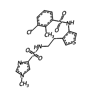 Cc1c(Cl)cccc1S(=O)(=O)Nc1cscc1CCNS(=O)(=O)c1cn(C)cn1